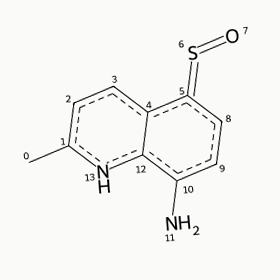 Cc1ccc2c(=S=O)ccc(N)c-2[nH]1